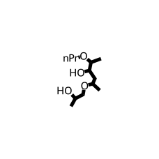 CCCOC(C)C(O)CC(C)OCC(C)O